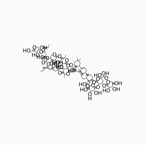 CC[C@H](C)[C@H](C[C@H](O)CC(=O)O[C@@H]1C(C)O[C@@H](OC(=O)[C@]23CCC(C)(C)CC2C2=CCC4[C@@]5(C)CC[C@H](O[C@@H]6OC(O)(C(=O)O)CC(O[C@@H]7OC[C@@H](O)C(O)C7O)C6O[C@@H]6OC(CO)[C@H](O)C(O)C6O)[C@@](C)(C=O)C5CC[C@@]4(C)[C@]2(C)C[C@H]3O)C(O[C@@H]2OC(C)[C@H](O[C@H]3OCC(O)[C@H](O)C3O)C(O)C2O)C1O)OC(=O)C[C@@H](O)C[C@H](OC1(O)CO[C@@H](CO)C1O)[C@@H](C)CC